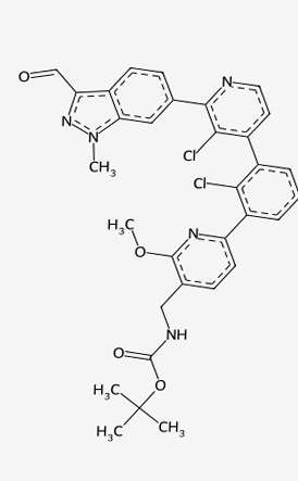 COc1nc(-c2cccc(-c3ccnc(-c4ccc5c(C=O)nn(C)c5c4)c3Cl)c2Cl)ccc1CNC(=O)OC(C)(C)C